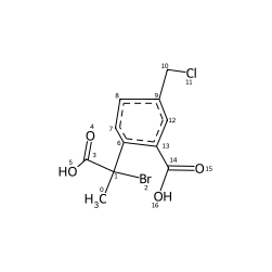 CC(Br)(C(=O)O)c1ccc(CCl)cc1C(=O)O